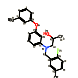 CC(C)(C)c1cccc(Oc2cccc(N(Cc3cc(C(F)(F)F)ccc3F)CC(O)C(F)(F)F)c2)c1